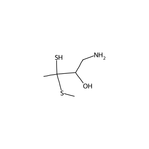 CSC(C)(S)C(O)CN